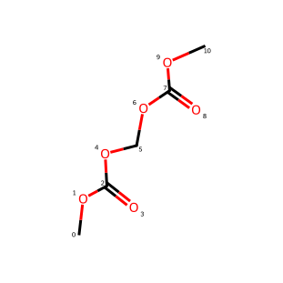 COC(=O)OCOC(=O)OC